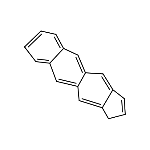 C1=Cc2cc3cc4ccccc4cc3cc2C1